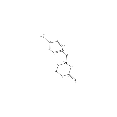 CC(C)(C)c1ccc(CN2CCCC(=O)C2)cc1